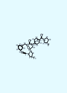 N#C[C@@H]1C[C@H](F)CN1C(=O)CN(C(=O)OCc1ccccc1)C12CCC(C(=O)N3CC[C@H](F)C3)(CC1)CC2